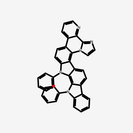 c1ccc(-n2c3ccccc3c3ccc4c5c(ccc6c7cccnc7c7nccn7c65)n(-c5ccccc5)c4c32)cc1